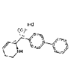 Cl.O=C(O)[C@H](c1ccc(-c2ccccc2)cc1)[C@@H]1C=CCCN1